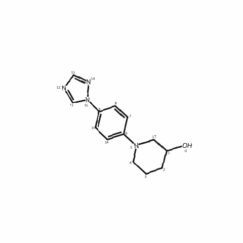 OC1CCCN(c2ccc(-n3cncn3)cc2)C1